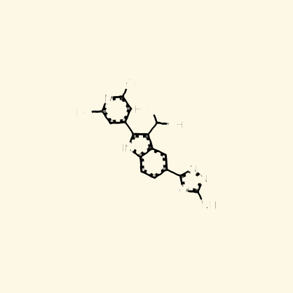 Cc1cc(-c2[nH]c3ccc(-c4nnc(N)o4)cc3c2C(C)C)cc(C)n1